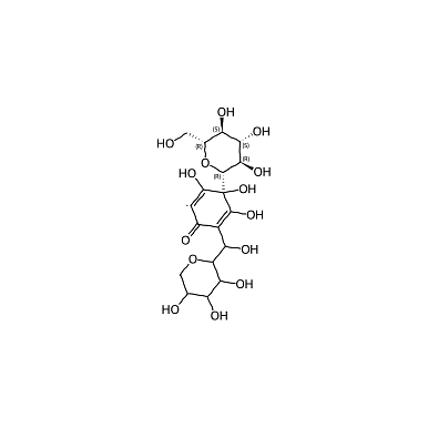 O=C1[C]=C(O)C(O)([C@@H]2O[C@H](CO)[C@@H](O)[C@H](O)[C@H]2O)C(O)=C1C(O)C1OCC(O)C(O)C1O